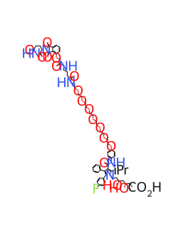 CC(C)c1c(C(=O)Nc2ccc(OCCOCCOCCOCCOCCOCCOCCNC(=O)CCCNC(=O)COc3cccc4c3C(=O)N(C3CCC(=O)NC3=O)C4=O)cc2)c(-c2ccccc2)c(-c2ccc(F)cc2)n1CCC(O)CC(O)CC(=O)O